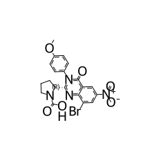 COc1ccc(-n2c([C@H]3CCCN3C(=O)O)nc3c(Br)cc([N+](=O)[O-])cc3c2=O)cc1